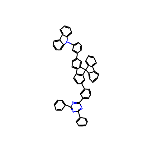 c1ccc(-c2nc(-c3ccccc3)nc(-c3cccc(-c4ccc5c(c4)C4(c6ccccc6-c6ccccc64)c4cc(-c6cccc(-n7c8ccccc8c8ccccc87)c6)ccc4-5)c3)n2)cc1